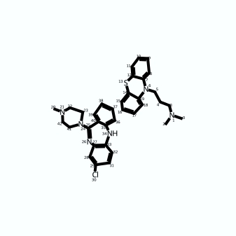 CN(C)CCCN1c2ccccc2Sc2ccccc21.CN1CCN(C2=Nc3cc(Cl)ccc3Nc3ccccc32)CC1